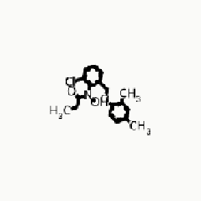 CCC(=O)N(O)c1c(Cl)cccc1COc1ccc(C)cc1C